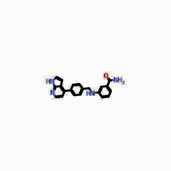 NC(=O)c1cccc(NCc2ccc(-c3ccnc4[nH]ccc34)cc2)c1